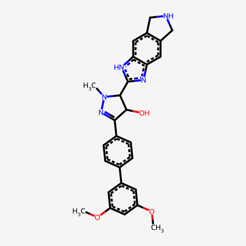 COc1cc(OC)cc(-c2ccc(C3=NN(C)C(c4nc5cc6c(cc5[nH]4)CNC6)C3O)cc2)c1